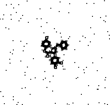 C[C@H](Oc1ccc(Cl)cn1)[C@@H]1CN(Cc2ccccc2)C[C@@H]1c1ccc(Cl)c(Cl)c1